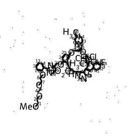 COCCOCCOCCOc1ccccc1-c1nccc(COc2ccc3cc2C[C@@H](C(=O)O)Cc2ncnc4sc(-c5ccc(F)cc5)c(c24)-c2c(C)c(Cl)c(c(Cl)c2C)O[C@H](CN2CCN(C)CC2)CO3)n1